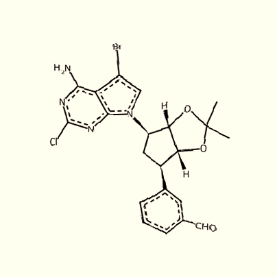 CC1(C)O[C@@H]2[C@H](O1)[C@@H](c1cccc(C=O)c1)C[C@H]2n1cc(Br)c2c(N)nc(Cl)nc21